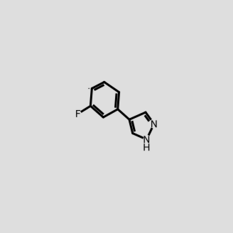 Fc1[c]ccc(-c2cn[nH]c2)c1